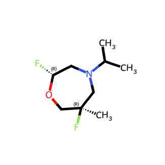 CC(C)N1C[C@@H](F)OC[C@](C)(F)C1